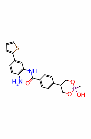 C[P]1(O)OCC(c2ccc(C(=O)Nc3cc(-c4cccs4)ccc3N)cc2)CO1